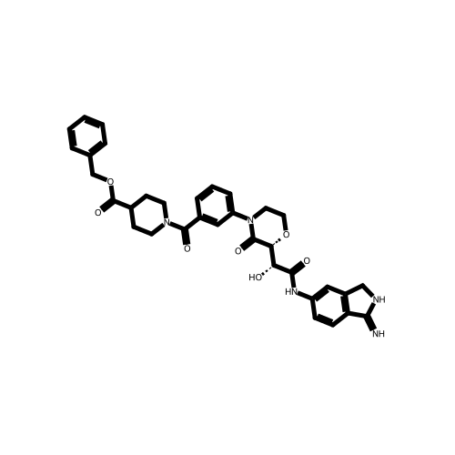 N=C1NCc2cc(NC(=O)[C@H](O)[C@H]3OCCN(c4cccc(C(=O)N5CCC(C(=O)OCc6ccccc6)CC5)c4)C3=O)ccc21